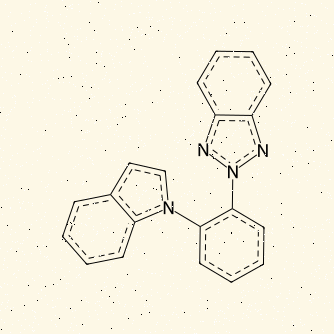 c1ccc(-n2ccc3ccccc32)c(-n2nc3ccccc3n2)c1